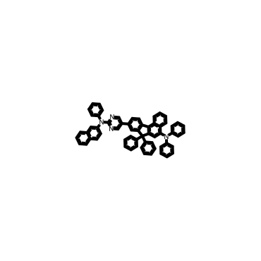 c1ccc(N(c2ccc3ccccc3c2)c2ncc(-c3ccc4c(c3)C(c3ccccc3)(c3ccccc3)c3cc(N(c5ccccc5)c5ccccc5)c5ccccc5c3-4)cn2)cc1